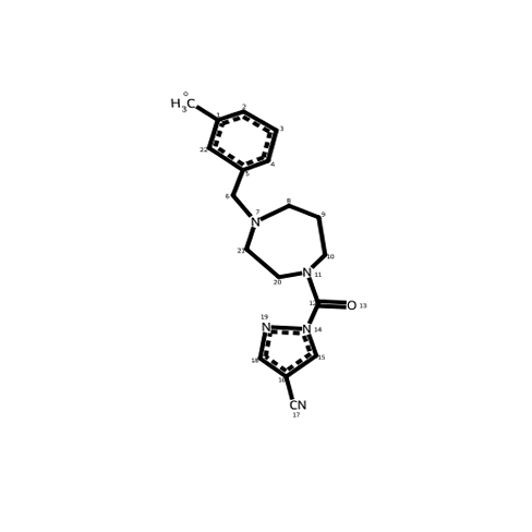 Cc1cccc(CN2CCCN(C(=O)n3cc(C#N)cn3)CC2)c1